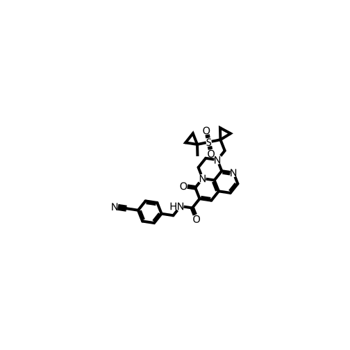 CC1(S(=O)(=O)C2(CN3CCn4c(=O)c(C(=O)NCc5ccc(C#N)cc5)cc5ccnc3c54)CC2)CC1